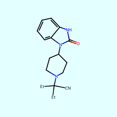 CCC(C#N)(CC)N1CCC(n2c(=O)[nH]c3ccccc32)CC1